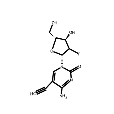 C#Cc1cn([C@@H]2O[C@H](CO)[C@@H](O)C2F)c(=O)nc1N